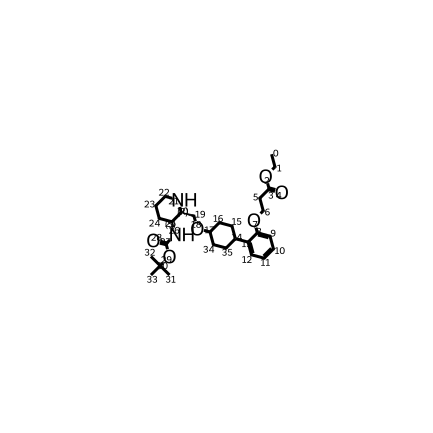 CCOC(=O)CCOc1ccccc1C1CCC(OC[C@@H]2NCCC[C@@H]2NC(=O)OC(C)(C)C)CC1